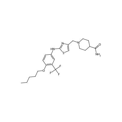 CCCCCOc1ccc(Nc2nc(CN3CCC(C(N)=O)CC3)cs2)cc1C(F)(F)F